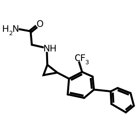 NC(=O)CNC1CC1c1ccc(-c2ccccc2)cc1C(F)(F)F